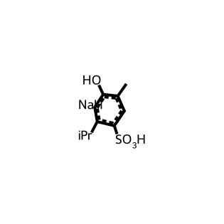 Cc1cc(S(=O)(=O)O)c(C(C)C)cc1O.[NaH]